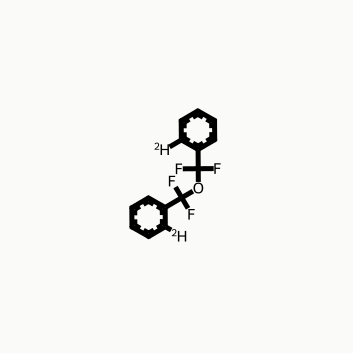 [2H]c1ccccc1C(F)(F)OC(F)(F)c1ccccc1[2H]